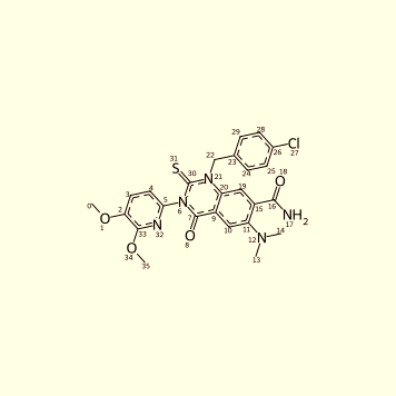 COc1ccc(-n2c(=O)c3cc(N(C)C)c(C(N)=O)cc3n(Cc3ccc(Cl)cc3)c2=S)nc1OC